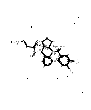 CCN(C(=O)CCC(=O)O)[C@H]1c2ccccc2N(C(=O)c2ccc(F)c(C(F)(F)F)c2)[C@@H]2CCC[C@@H]21